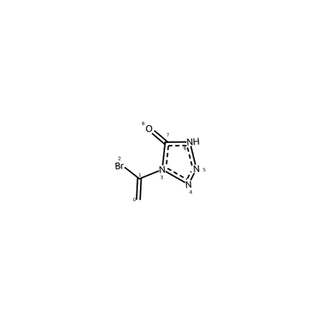 C=C(Br)n1nn[nH]c1=O